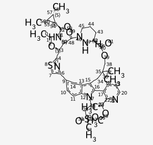 CCO[C@@H]1c2nc(cs2)-c2ccc3c(c2)c(c(-c2cccnc2[C@H](C)OC)n3CCS(C)(=O)=O)CC(C)(C)COC(=O)[C@@H]2CCCN(N2)C(=O)[C@H]1NC(=O)[C@H]1[C@H](C)[C@@H]1C